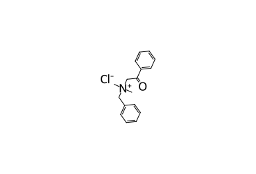 C[N+](C)(CC(=O)c1ccccc1)Cc1ccccc1.[Cl-]